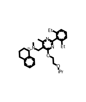 CCc1cccc(CC)c1-c1nc(C)c(CN(C)[C@H]2CCCc3ccccc32)c(OCCOC(C)C)n1